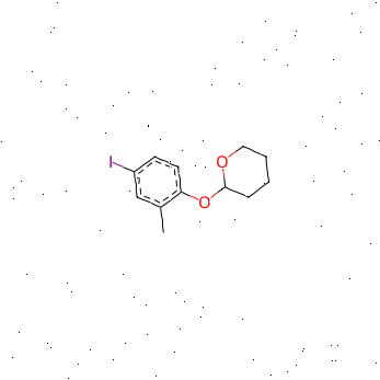 Cc1cc(I)ccc1OC1CCCCO1